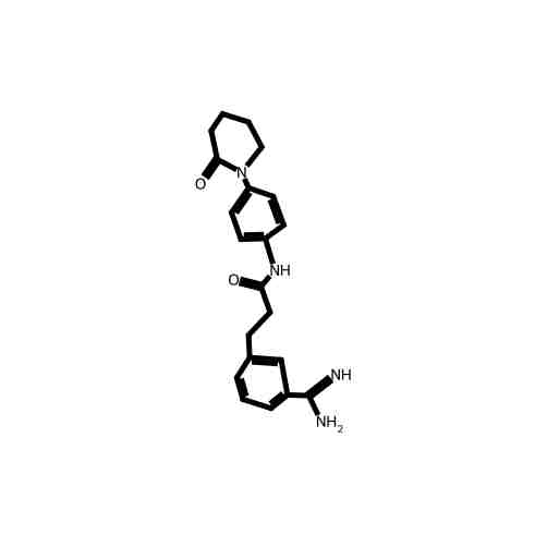 N=C(N)c1cccc(CCC(=O)Nc2ccc(N3CCCCC3=O)cc2)c1